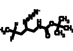 CC(F)(F)CC(CNC(=O)OC(C)(C)C)N=[N+]=[N-]